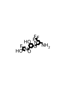 NCc1cc(Oc2cc(O)cc(C(=O)N3C[C@H](O)[C@@H](F)C3)c2)nc(C(F)(F)F)c1